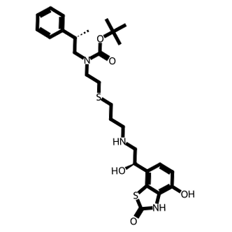 C[C@H](CN(CCSCCCNC[C@H](O)c1ccc(O)c2[nH]c(=O)sc12)C(=O)OC(C)(C)C)c1ccccc1